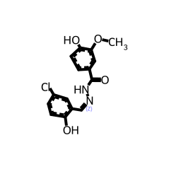 COc1cc(C(=O)N/N=C\c2cc(Cl)ccc2O)ccc1O